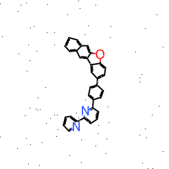 c1ccc(-c2cccc(-c3ccc(-c4ccc5oc6cc7ccccc7cc6c5c4)cc3)n2)nc1